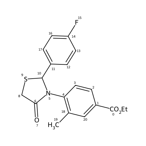 CCOC(=O)c1ccc(N2C(=O)CSC2c2ccc(F)cc2)c(C)c1